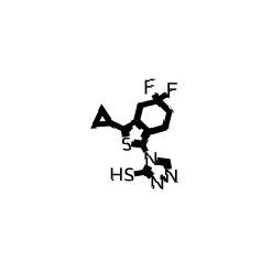 FC1(F)CCc2c(-n3cnnc3S)sc(C3CC3)c2C1